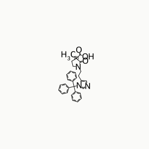 C[C@@]1(C(=O)O)CCN(CCc2cncn2C(c2ccccc2)(c2ccccc2)c2ccccc2)C1=O